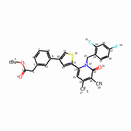 CC(C)(C)OC(=O)Cc1cccc(-c2csc(-c3cc(C(F)(F)F)c(C#N)c(=O)n3Cc3ccc(F)cc3F)c2)c1